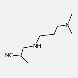 CC(C#N)CNCCCN(C)C